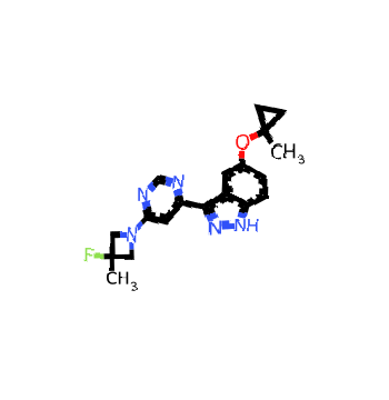 CC1(F)CN(c2cc(-c3n[nH]c4ccc(OC5(C)CC5)cc34)ncn2)C1